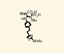 CC(=O)Nc1nc(CCc2ccc(NC(N(C(=O)O)C(C)(C)C)N(C(=O)O)C(C)(C)C)cc2)cs1